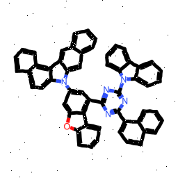 c1ccc2cc3c(cc2c1)c1c2ccccc2ccc1n3-c1cc(-c2nc(-c3cccc4ccccc34)nc(-n3c4ccccc4c4ccccc43)n2)c2c(c1)oc1ccccc12